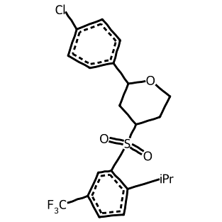 CC(C)c1ccc(C(F)(F)F)cc1S(=O)(=O)C1CCOC(c2ccc(Cl)cc2)C1